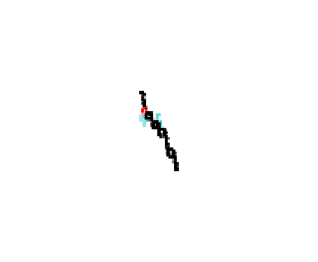 CCCCCCOc1ccc(-c2ccc(C3CCC(CC/C=C/C4CCC(CCCCC)CC4)CC3)c(F)c2F)c(F)c1F